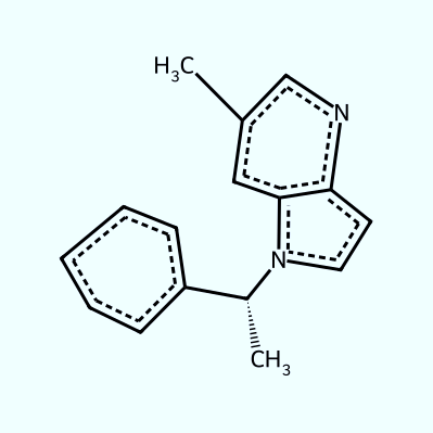 Cc1cnc2ccn([C@H](C)c3ccccc3)c2c1